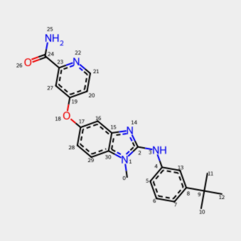 Cn1c(Nc2cccc(C(C)(C)C)c2)nc2cc(Oc3ccnc(C(N)=O)c3)ccc21